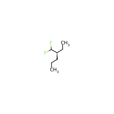 CCC[C@H](CC)C(F)F